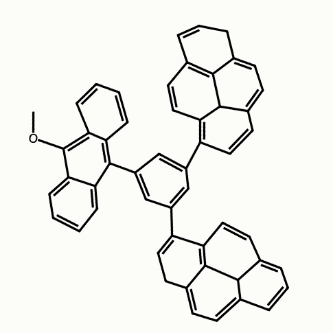 COc1c2ccccc2c(-c2cc(C3=CCC4=CC=C5C=CC=C6C=CC3=C4C65)cc(C3=C4C=CC5=C6C(=CC=C(C=C3)C46)CC=C5)c2)c2ccccc12